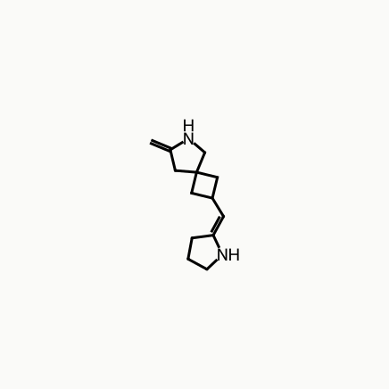 C=C1CC2(CN1)CC(/C=C1\CCCN1)C2